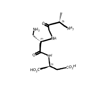 C[C@H](N)C(=O)N[C@@H](CN)C(=O)N[C@@H](CC(=O)O)C(=O)O